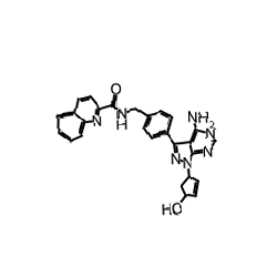 Nc1ncnc2c1c(-c1ccc(CNC(=O)c3ccc4ccccc4n3)cc1)nn2C1C=CC(O)C1